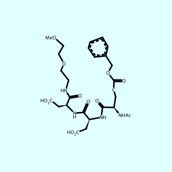 COCCOCCNC(=O)[C@H](CC(=O)O)NC(=O)[C@H](CC(=O)O)NC(=O)[C@@H](CCC(=O)OCc1ccccc1)NC(C)=O